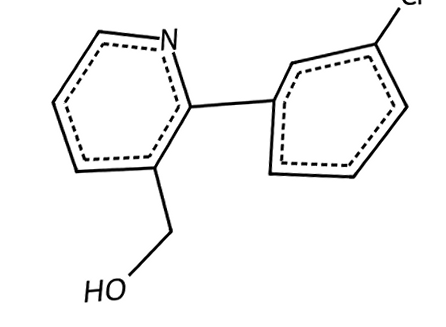 OCc1cccnc1-c1cccc(Cl)c1